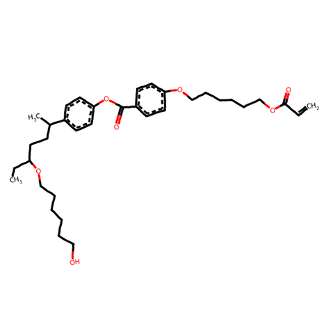 C=CC(=O)OCCCCCCOc1ccc(C(=O)Oc2ccc(C(C)CCC(CC)OCCCCCCO)cc2)cc1